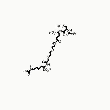 CCCC(=O)NC(CS(=O)(=O)O)C(=O)NC(CCC(=O)NCCOCCOCC(=O)NC(CCCCNC(=O)CC)C(=O)O)C(=O)O